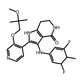 COC(C)(C)COc1cnccc1-c1[nH]c2c(c1NC1=CC(F)C(C)C(F)=C1)C(=O)NCC2